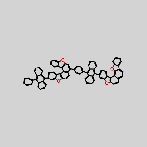 c1ccc(-c2c3ccccc3c(-c3ccc4c(c3)oc3ccc5c(-c6ccc(-c7c8ccccc8c(-c8ccc9c(c8)oc8ccc%10ccc%11c%12ccccc%12oc%11c%10c89)c8ccccc78)cc6)cc6oc7ccccc7c6c5c34)c3ccccc23)cc1